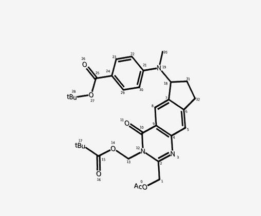 CC(=O)OCc1nc2cc3c(cc2c(=O)n1COC(=O)C(C)(C)C)C(N(C)c1ccc(C(=O)OC(C)(C)C)cc1)CC3